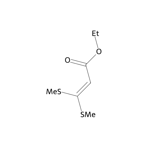 CCOC(=O)C=C(SC)SC